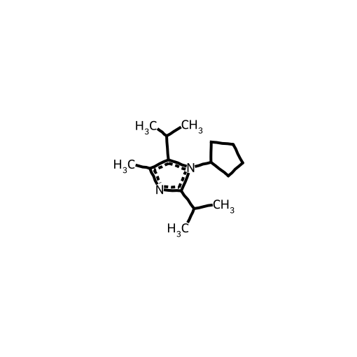 Cc1nc(C(C)C)n(C2CCCC2)c1C(C)C